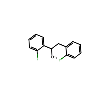 C[C](Cc1ccccc1F)c1ccccc1F